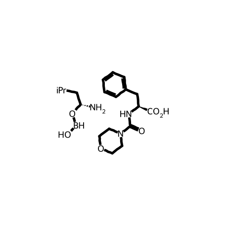 CC(C)C[C@H](N)OBO.O=C(O)[C@H](Cc1ccccc1)NC(=O)N1CCOCC1